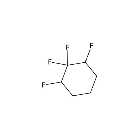 F[C]1CCCC(F)C1(F)F